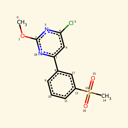 COc1nc(Cl)cc(-c2cccc(S(C)(=O)=O)c2)n1